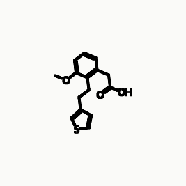 COc1cccc(CC(=O)O)c1CCc1ccsc1